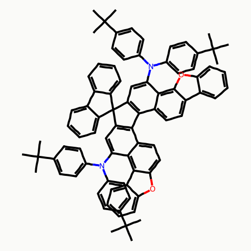 CC(C)(C)c1ccc(N(c2ccc(C(C)(C)C)cc2)c2cc3c(c4ccc5c6ccccc6oc5c24)-c2c(cc(N(c4ccc(C(C)(C)C)cc4)c4ccc(C(C)(C)C)cc4)c4c2ccc2oc5ccccc5c24)C32c3ccccc3-c3ccccc32)cc1